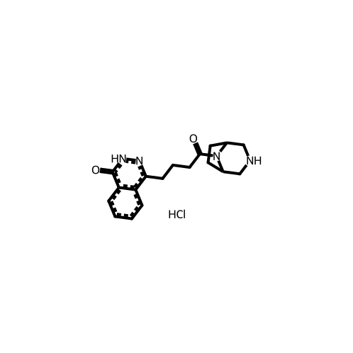 Cl.O=C(CCCc1n[nH]c(=O)c2ccccc12)N1C2CCC1CNC2